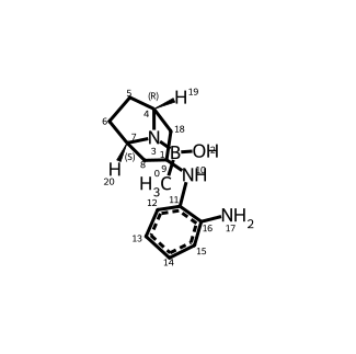 CB(O)N1[C@@H]2CC[C@H]1CC(Nc1ccccc1N)C2